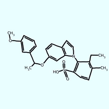 CCc1c(C)ccc(S(=O)(=O)O)c1-n1ccc2ccc(OC(C)c3cccc(OC)c3)cc21